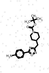 CC(C)(C)OC(=O)N1CCC(Cc2noc(-c3ccc(N)cc3)n2)CC1